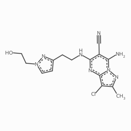 Cc1nn2c(N)c(C#N)c(NCCc3ccn(CCO)n3)nc2c1Cl